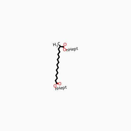 CCCCCCCOC(=O)CCCCCCCCCCCCCC(C)C(=O)OCCCCCCC